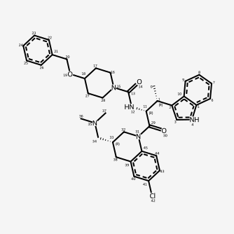 C[C@H](c1c[nH]c2ccccc12)[C@@H](NC(=O)N1CCC(OCc2ccccc2)CC1)C(=O)N1C[C@@H](CN(C)C)Cc2cc(Cl)ccc21